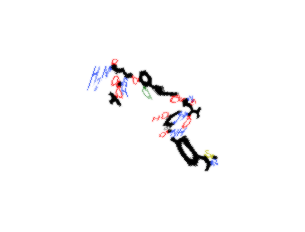 Cc1ncsc1-c1ccc(CNC(=O)[C@@H]2C[C@@H](O)CN2C(=O)C(c2cc(OCCCc3cccc(OCC(CCC(N)=O)NC(=O)OC(C)(C)C)c3Cl)no2)C(C)C)cc1